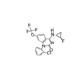 O=c1nc(N[C@@H]2C[C@H]2F)c2ccc(OC(F)(F)F)cc2n1-c1ccccc1Cl